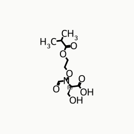 CC(C)C(=O)OCCON(C=O)[C@H](CO)C(=O)O